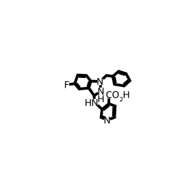 O=C(O)c1ccncc1NC1NN(Cc2ccccc2)c2ccc(F)cc21